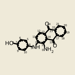 Nc1c(Nc2ccc(O)cc2)ccc2c1C(=O)c1ccccc1C2=O